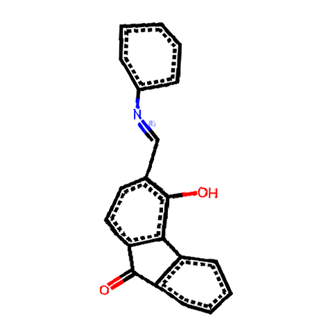 O=C1c2ccccc2-c2c1ccc(/C=N/c1ccccc1)c2O